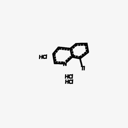 Cl.Cl.Cl.[Ti][c]1cccc2cccnc12